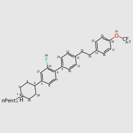 CCCCC[SiH]1CCC(c2ccc(-c3ccc(CCc4ccc(OC(F)(F)F)cc4)cc3)c(F)c2)CC1